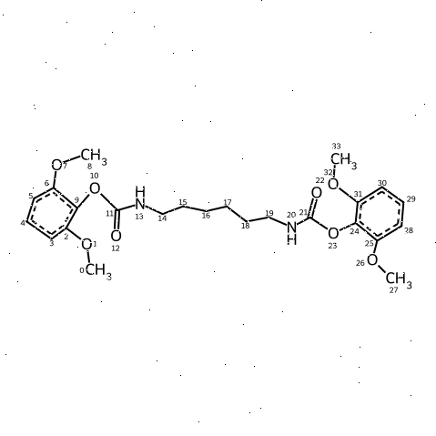 COc1cccc(OC)c1OC(=O)NCCCCCCNC(=O)Oc1c(OC)cccc1OC